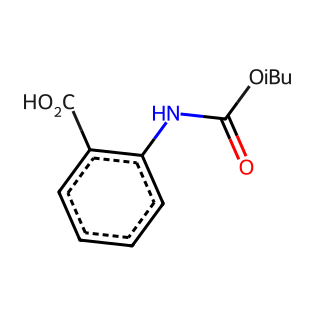 CC(C)COC(=O)Nc1ccccc1C(=O)O